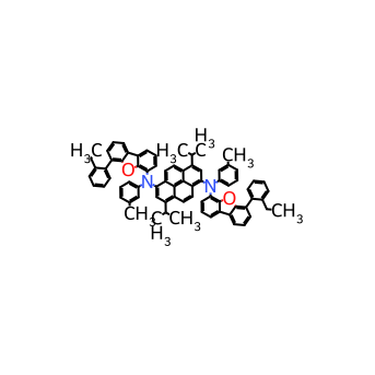 CCc1ccccc1-c1cccc2c1oc1c(N(c3cccc(C)c3)c3cc(C(C)C)c4ccc5c(N(c6cccc(C)c6)c6cccc7c6oc6c(-c8ccccc8CC)cccc67)cc(C(C)C)c6ccc3c4c65)cccc12